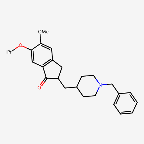 COc1cc2c(cc1OC(C)C)C(=O)C(CC1CCN(Cc3ccccc3)CC1)C2